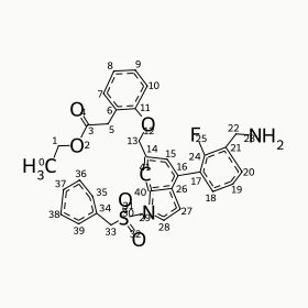 CCOC(=O)Cc1ccccc1OCc1cc(-c2cccc(CN)c2F)c2ccn(S(=O)(=O)Cc3ccccc3)c2c1